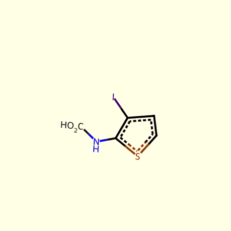 O=C(O)Nc1sccc1I